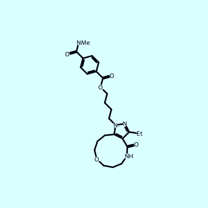 CCc1nn(CCCCOC(=O)c2ccc(C(=O)NC)cc2)c2c1C(=O)NCCCOCCC2